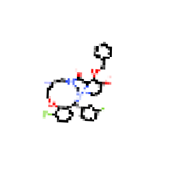 O=C1c2c(OCc3ccccc3)c(=O)ccn2N2CN1C/C=C\COc1c(F)cccc1[C@H]2c1cccc(F)c1